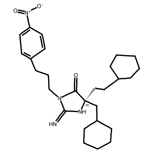 N=C1N[C@](CCC2CCCCC2)(CC2CCCCC2)C(=O)N1CCCc1ccc([N+](=O)[O-])cc1